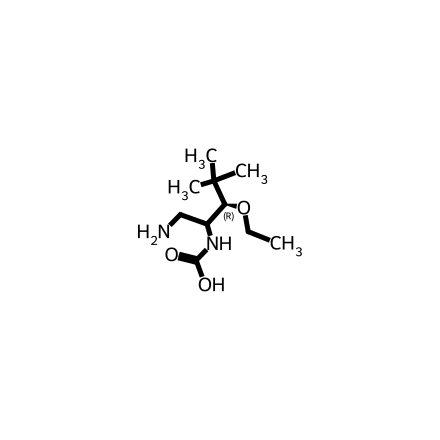 CCO[C@@H](C(CN)NC(=O)O)C(C)(C)C